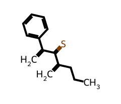 C=C(CCC)C(=S)C(=C)c1ccccc1